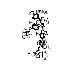 COc1cc(C(C)(C)c2cnc(SCc3c(F)cc(S(=O)(=O)N(C)CCC[N+](C)(C)C)cc3Cl)n2-c2ccc(F)cc2)ccc1Cl.O=C([O-])C(F)(F)F